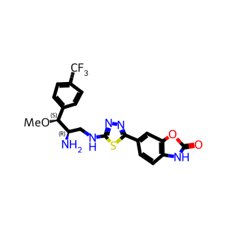 CO[C@@H](c1ccc(C(F)(F)F)cc1)[C@H](N)CNc1nnc(-c2ccc3[nH]c(=O)oc3c2)s1